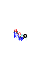 O=C(Nc1cn(Cc2c(F)cccc2F)nn1)[C@@H]1COCCN1